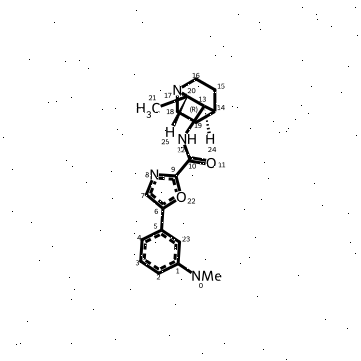 CNc1cccc(-c2cnc(C(=O)N[C@@H]3C4CCN(CC4)[C@H]3C)o2)c1